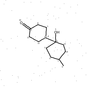 CC1CCC(O)(N2CCC(=O)CC2)CC1